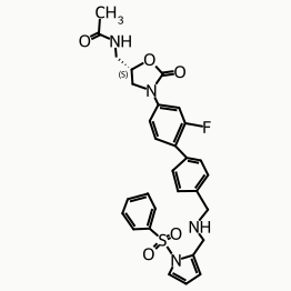 CC(=O)NC[C@H]1CN(c2ccc(-c3ccc(CNCc4cccn4S(=O)(=O)c4ccccc4)cc3)c(F)c2)C(=O)O1